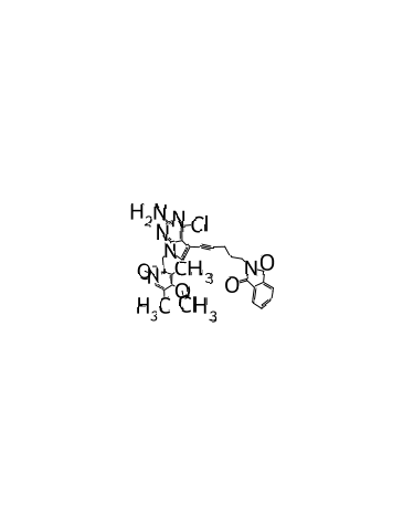 COc1c(C)c[n+]([O-])c(Cn2cc(C#CCCCN3C(=O)c4ccccc4C3=O)c3c(Cl)nc(N)nc32)c1C